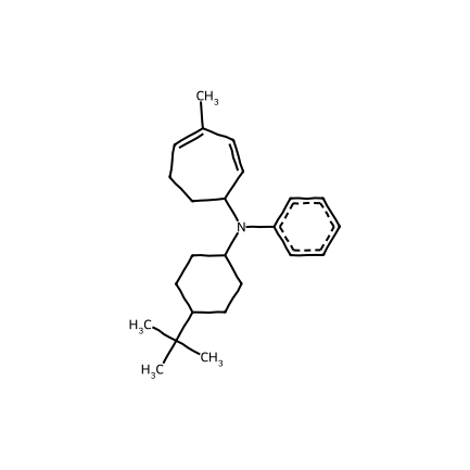 CC1=CCCC(N(c2ccccc2)C2CCC(C(C)(C)C)CC2)C=C1